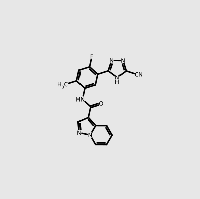 Cc1cc(F)c(-c2nnc(C#N)[nH]2)cc1NC(=O)c1cnn2ccccc12